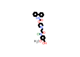 COc1cc(N(Cl)C(=O)CCN2CCC(OC(=O)Nc3ccccc3-c3ccccc3)CC2)ccc1CO